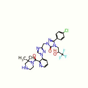 CC1(C)CNCCN1C(=O)c1ncccc1-n1cnc(Cn2nc(-c3ccc(Cl)cc3)n(CC(O)C(F)(F)F)c2=O)n1